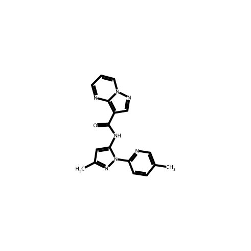 Cc1ccc(-n2nc(C)cc2NC(=O)c2cnn3cccnc23)nc1